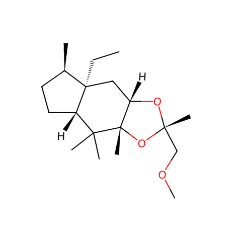 CC[C@]12C[C@@H]3O[C@](C)(COC)O[C@]3(C)C(C)(C)[C@@H]1CC[C@H]2C